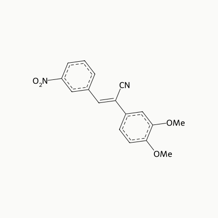 COc1ccc(/C(C#N)=C/c2cccc([N+](=O)[O-])c2)cc1OC